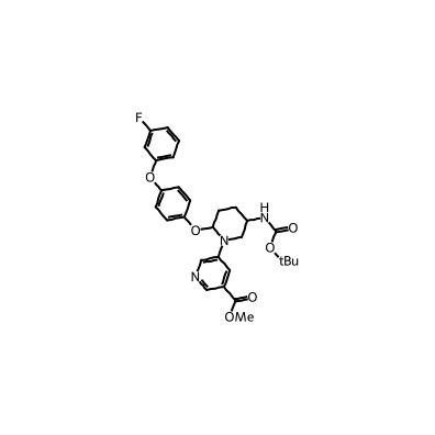 COC(=O)c1cncc(N2CC(NC(=O)OC(C)(C)C)CCC2Oc2ccc(Oc3cccc(F)c3)cc2)c1